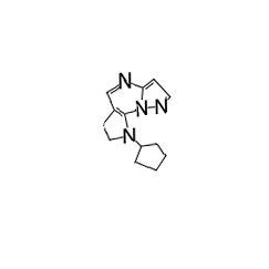 c1cc2ncc3c(n2n1)N(C1CCCC1)CC3